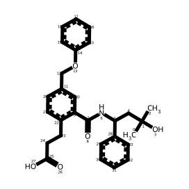 CC(C)(O)CC(NC(=O)c1cc(COc2ccccc2)ccc1CCC(=O)O)c1ccccc1